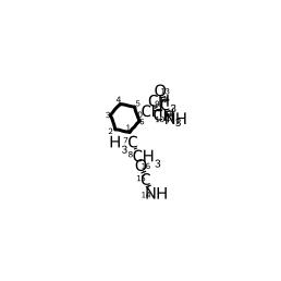 C.C1CCCCC1.CC.CC.N=C=O.N=C=O